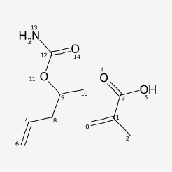 C=C(C)C(=O)O.C=CCC(C)OC(N)=O